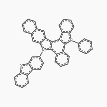 c1ccc(-n2c3ccccc3c3c4c5cc6ccccc6cc5n(-c5ccc6c(c5)sc5ccccc56)c4c4ccccc4c32)cc1